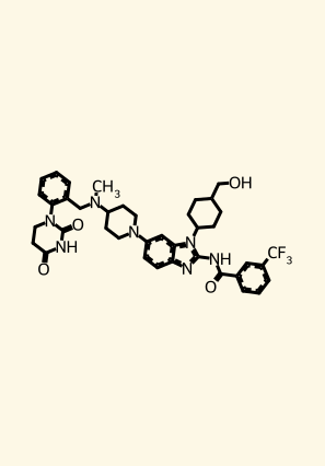 CN(Cc1ccccc1N1CCC(=O)NC1=O)C1CCN(c2ccc3nc(NC(=O)c4cccc(C(F)(F)F)c4)n(C4CCC(CO)CC4)c3c2)CC1